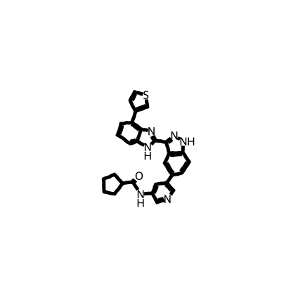 O=C(Nc1cncc(-c2ccc3[nH]nc(-c4nc5c(-c6ccsc6)cccc5[nH]4)c3c2)c1)C1CCCC1